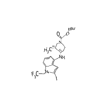 C[C@@H]1CN(C(=O)OC(C)(C)C)CC[C@@H]1Nc1cccc2c1cc(I)n2CC(F)(F)F